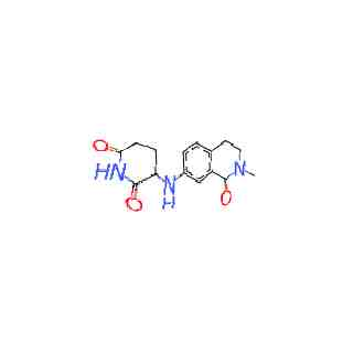 CN1CCc2ccc(NC3CCC(=O)NC3=O)cc2C1=O